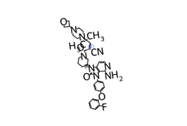 CC(C)(/C=C(/C#N)C(=O)N1CCC[C@@H](n2c(=O)n(-c3ccc(Oc4ccccc4F)cc3)c3c(N)nccc32)C1)N1CCN(C2COC2)CC1